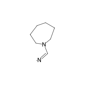 [N]=CN1CCCCCC1